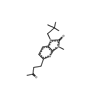 CC(=O)CCc1ccc2c(n1)n(C)c(=O)n2CC(C)(C)C